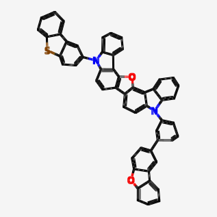 c1cc(-c2ccc3oc4ccccc4c3c2)cc(-n2c3ccccc3c3c4oc5c(ccc6c5c5ccccc5n6-c5ccc6sc7ccccc7c6c5)c4ccc32)c1